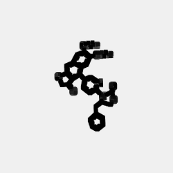 COc1cc2cc3c(c(-c4ccc(N5C(=O)OCC5Cc5ccccc5)nc4)c2cc1OC)C(=O)CO3